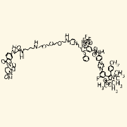 Cc1ccc(-c2c(-c3cc(F)cc(N4CCN(c5ccc(NS(=O)(=O)c6ccc(NC(CCN7CCC(NCCOCCOCCOCCNCCCCNC(=O)CNc8ccc9c(c8)C(=O)N(C8CCC(=O)NC8=O)C9=O)CC7)CSc7ccccc7)c(S(=O)(=O)C(F)(F)F)c6)cc5)CC4)c3)c(S(C)(=O)=O)c(C)n2C(C)C)cc1